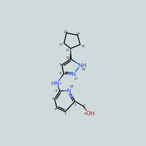 OCc1cccc(Nc2cc([C@H]3C[CH]CC3)[nH]n2)n1